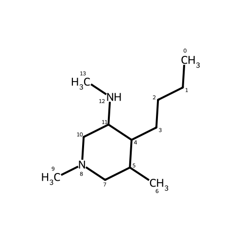 CCCCC1C(C)CN(C)CC1NC